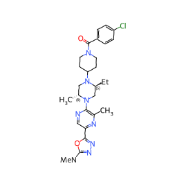 CC[C@H]1CN(c2ncc(-c3nnc(NC)o3)nc2C)[C@H](C)CN1C1CCN(C(=O)c2ccc(Cl)cc2)CC1